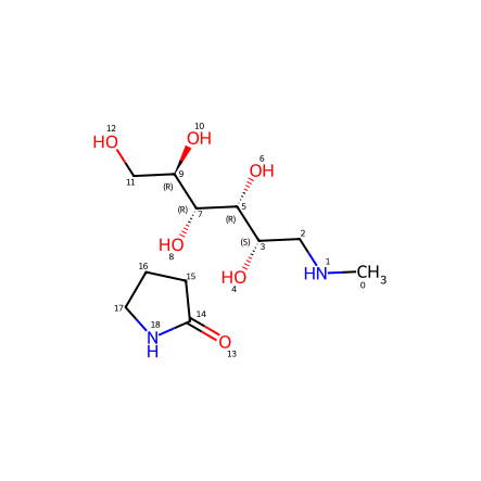 CNC[C@H](O)[C@@H](O)[C@H](O)[C@H](O)CO.O=C1CCCN1